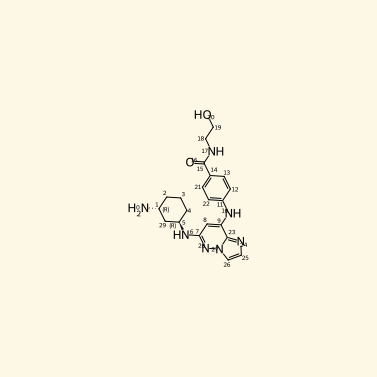 N[C@@H]1CCC[C@@H](Nc2cc(Nc3ccc(C(=O)NCCO)cc3)c3nccn3n2)C1